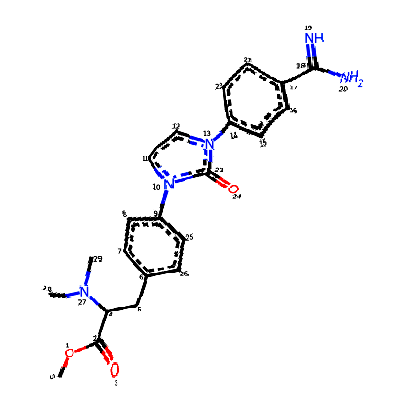 COC(=O)C(Cc1ccc(-n2ccn(-c3ccc(C(=N)N)cc3)c2=O)cc1)N(C)C